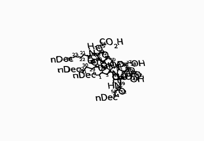 CCCCCCCCCCCCCC(=O)N[C@H]1[C@H](OC[C@H]2O[C@H](OCC(=O)O)[C@H](NC(=O)CCCCCCCCCCCCC)[C@@H](OC(=O)CCCCCCCCCCCCC)[C@@H]2O)O[C@H](CO)[C@@H](OP(=O)(O)O)[C@@H]1OC(=O)CNC(=O)CCCCCCCCCCC